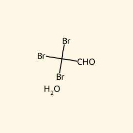 O.O=CC(Br)(Br)Br